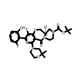 CC(C)(C)OC(=O)N1CCN2C(=O)c3c(N4CCOC(C)(C)C4)nc(-c4c(O)cccc4F)c(F)c3OC[C@H]2C1